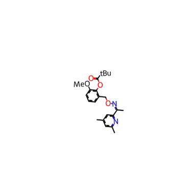 COc1cccc(CON=C(C)c2cc(C)cc(C)n2)c1OC(=O)C(C)(C)C